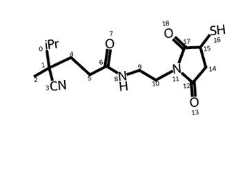 CC(C)C(C)(C#N)CCC(=O)NCCN1C(=O)CC(S)C1=O